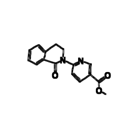 COC(=O)c1ccc(N2CCc3ccccc3C2=O)nc1